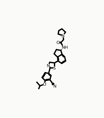 CC(C)Oc1ccc(C2=NCC(c3cccc4c3CC[C@@H]4NC(=O)CN3CCCC3)S2)cc1C#N